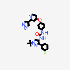 Cn1cc(-c2cc(Oc3ccc(NC(=O)Nc4cn(C(C)(C)C)nc4-c4cccc(F)c4)cc3)ccn2)cn1